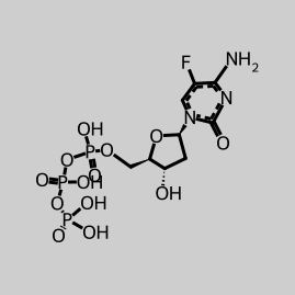 Nc1nc(=O)n([C@H]2C[C@H](O)[C@@H](COP(=O)(O)OP(=O)(O)OP(=O)(O)O)O2)cc1F